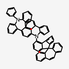 C1=Cc2ccccc2C2(c3ccccc31)c1ccccc1-c1c(N(c3ccc4c(c3)-c3ccccc3N(c3ccccc3)c3ccccc3-4)c3ccccc3-c3ccccc3)cccc12